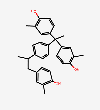 Cc1cc(CC(C)c2ccc(C(C)(c3ccc(O)c(C)c3)c3ccc(O)c(C)c3)cc2)ccc1O